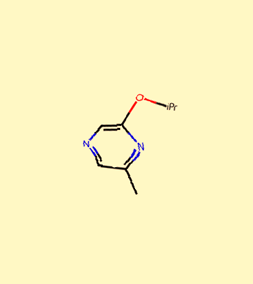 Cc1cncc(OC(C)C)n1